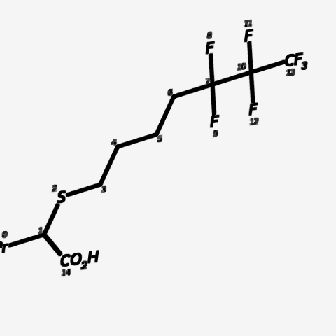 CCCC(SCCCCC(F)(F)C(F)(F)C(F)(F)F)C(=O)O